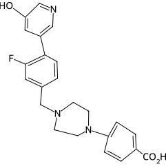 O=C(O)c1ccc(N2CCN(Cc3ccc(-c4cncc(O)c4)c(F)c3)CC2)cc1